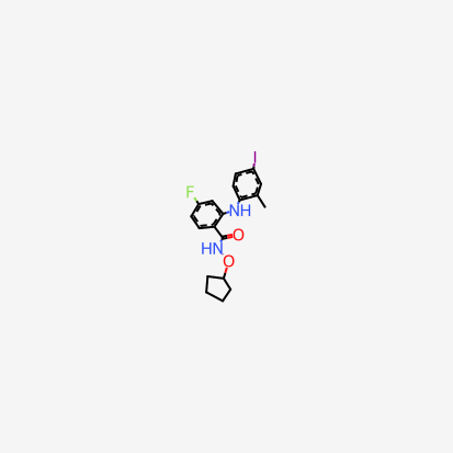 Cc1cc(I)ccc1Nc1cc(F)ccc1C(=O)NOC1CCCC1